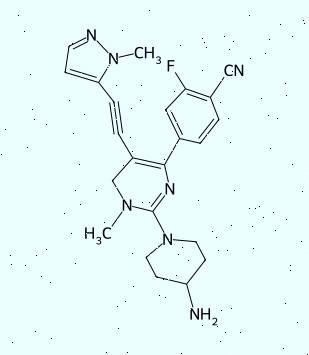 CN1CC(C#Cc2ccnn2C)=C(c2ccc(C#N)c(F)c2)N=C1N1CCC(N)CC1